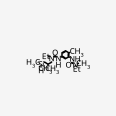 CCN(C)C(=O)Nc1cc(NC(=O)N(CC)CC(C)C[SiH](C)C)ccc1C